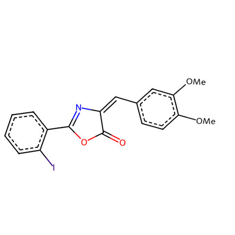 COc1ccc(/C=C2/N=C(c3ccccc3I)OC2=O)cc1OC